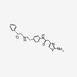 Nc1nc(CC(=O)Nc2ccc(CCNC[C@H](Cl)c3ccccc3)cc2)cs1